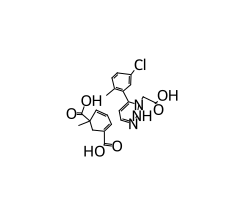 CC1(C(=O)O)C=CC=C(C(=O)O)C1.Cc1ccc(Cl)cc1C1=CC=NNN1CC(=O)O